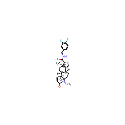 CN1C(=O)C=C[C@@]2(C)C1CC[C@@H]1[C@H]2CC[C@]2(C)C(C(=O)NCc3ccc(F)c(F)c3)CC[C@@H]12